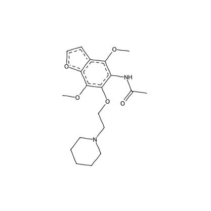 COc1c(NC(C)=O)c(OCCN2CCCCC2)c(OC)c2occc12